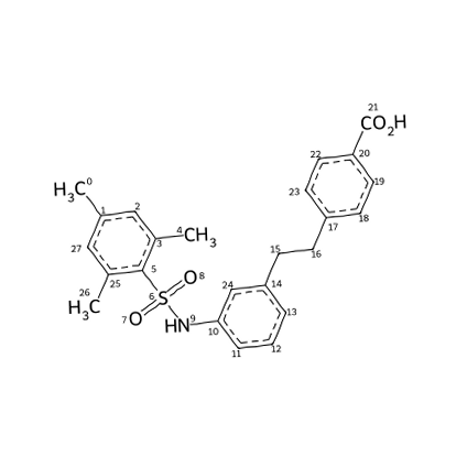 Cc1cc(C)c(S(=O)(=O)Nc2cccc(CCc3ccc(C(=O)O)cc3)c2)c(C)c1